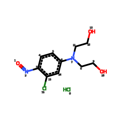 Cl.O=Nc1ccc(N(CCO)CCO)cc1Cl